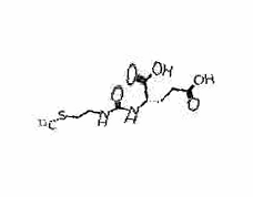 [11CH3]SCCNC(=O)N[C@@H](CCC(=O)O)C(=O)O